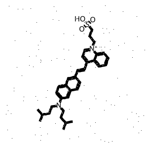 CC(C)CCN(CCC(C)C)c1ccc2cc(C=Cc3cc[n+](CCCS(=O)(=O)O)c4ccccc34)ccc2c1